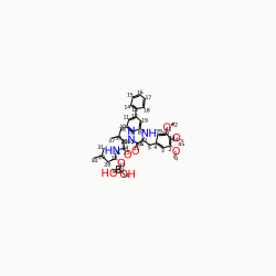 COc1cc(C[C@H](Nc2cccc(-c3ccccc3)c2)C(=O)N[C@H](C(=O)NC(CC(C)C)OB(O)O)C(C)C)cc(OC)c1OC